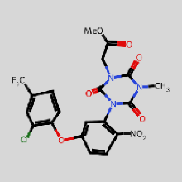 COC(=O)Cn1c(=O)n(C)c(=O)n(-c2cc(Oc3ccc(C(F)(F)F)cc3Cl)ccc2[N+](=O)[O-])c1=O